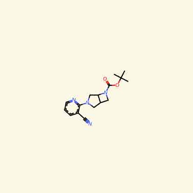 CC(C)(C)OC(=O)N1CC2CN(c3ncccc3C#N)CC21